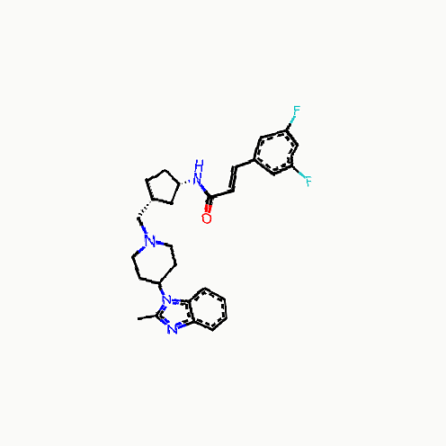 Cc1nc2ccccc2n1C1CCN(C[C@@H]2CC[C@H](NC(=O)/C=C/c3cc(F)cc(F)c3)C2)CC1